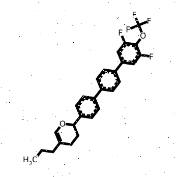 CCCC1=COC(c2ccc(-c3ccc(-c4cc(F)c(OC(F)(F)F)c(F)c4)cc3)cc2)CC1